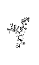 O=C(C1COC1)N1CCN(c2cc(S(=O)(=O)NC3CC3)cn3c(-c4nnc(C(F)(F)F)s4)ncc23)CC1